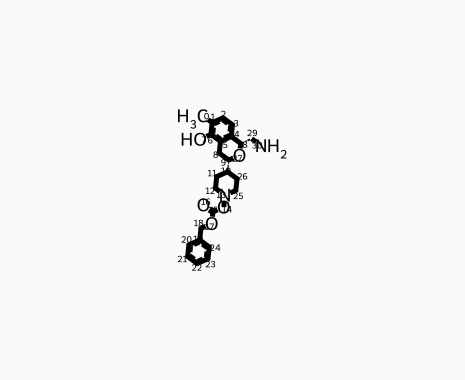 Cc1ccc2c(c1O)C[C@@H](C1CCN(OC(=O)OCc3ccccc3)CC1)O[C@H]2CN